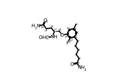 Cc1cc(CCCCCC(N)=O)c(F)c(OC[C@H](CCC(N)=O)NC=O)c1